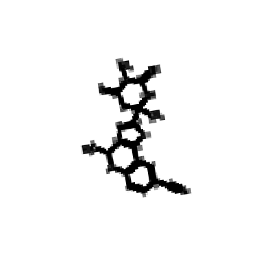 C[C@@H]1Oc2ccc(C#N)cc2-c2sc([C@]3(C)CC(=O)N(C)C(=N)N3)cc21